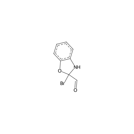 O=CC1(Br)Nc2ccccc2O1